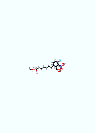 CCOC(=O)CCCCCCc1ccc(F)c([N+](=O)[O-])c1C=O